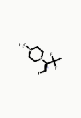 CN1CCN(/C(=C\F)C(F)(F)F)CC1